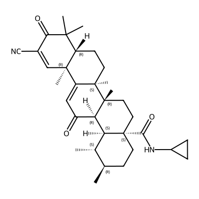 C[C@@H]1[C@H]2[C@H]3C(=O)C=C4[C@@]5(C)C=C(C#N)C(=O)C(C)(C)[C@@H]5CC[C@@]4(C)[C@]3(C)CC[C@@]2(C(=O)NC2CC2)CC[C@H]1C